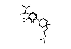 CNCCCC1(C)CCN(c2ccc(C(=O)N(C)C)c(Cl)n2)CC1